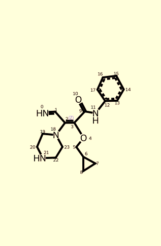 N=C/C(=C(/OCC1CC1)C(=O)Nc1ccccc1)N1CCNCC1